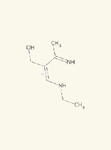 CCN/C=C(/CO)C(C)=N